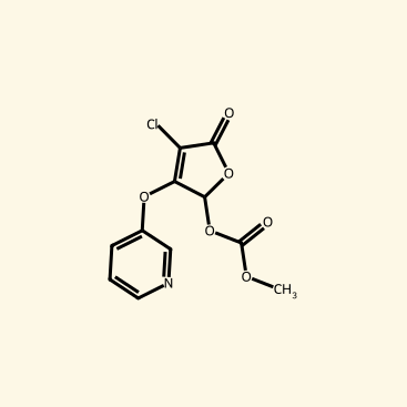 COC(=O)OC1OC(=O)C(Cl)=C1Oc1cccnc1